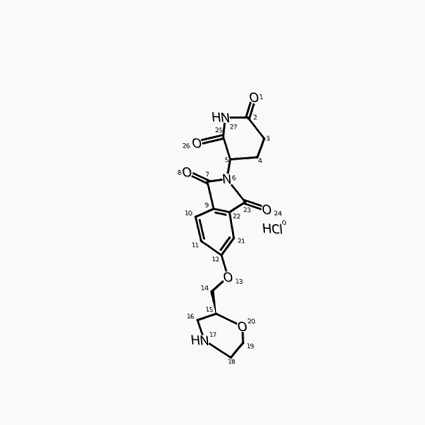 Cl.O=C1CCC(N2C(=O)c3ccc(OC[C@@H]4CNCCO4)cc3C2=O)C(=O)N1